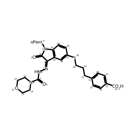 CCCCCN1C(=O)/C(=N\NC(=O)N2CCOCC2)c2cc(SCCCc3ccc(C(=O)O)cc3)ccc21